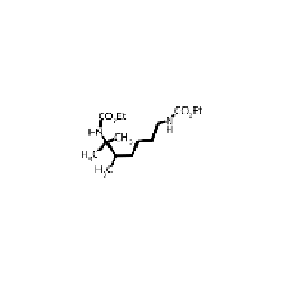 CCOC(=O)NCCCCC(C)C(C)(C)NC(=O)OCC